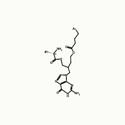 CC(=O)CCCC(=O)OCCC(COC(=O)[C@@H](N)C(C)C)Cn1cnc2c(=O)[nH]c(N)nc21